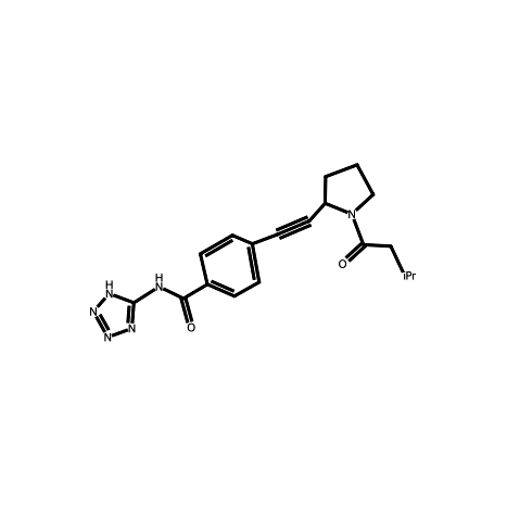 CC(C)CC(=O)N1CCCC1C#Cc1ccc(C(=O)Nc2nnn[nH]2)cc1